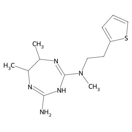 CC1N=C(N)NC(N(C)CCc2cccs2)=NC1C